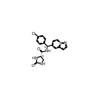 O=C1NC[C@@H](C(=O)N[C@@H](c2ccc(Cl)cc2)c2ccn3nccc3c2)N1